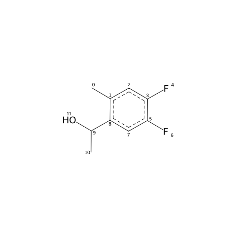 Cc1cc(F)c(F)cc1C(C)O